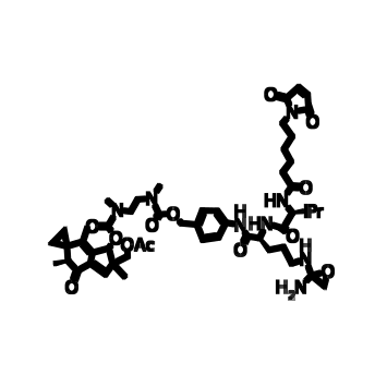 CC(=O)OCC1(C)C=C2C(=O)[C@@H](C)C3(CC3)C(C)=C2C1OC(=O)N(C)CCN(C)C(=O)OCc1ccc(NC(=O)[C@H](CCCNC2(N)CO2)NC(=O)[C@@H](NC(=O)CCCCCN2C(=O)C=CC2=O)C(C)C)cc1